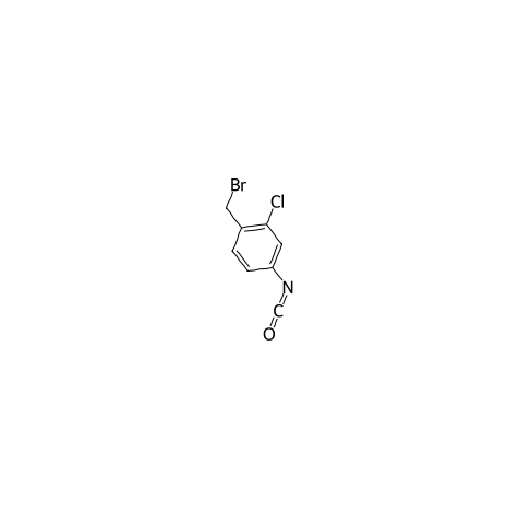 O=C=Nc1ccc(CBr)c(Cl)c1